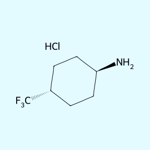 Cl.N[C@H]1CC[C@H](C(F)(F)F)CC1